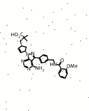 COc1ccccc1C(=O)NCc1ccc(-c2nn([C@H]3C=C[C@@H](CC(C)(C)C(=O)O)C3)c3ncnc(N)c23)cc1